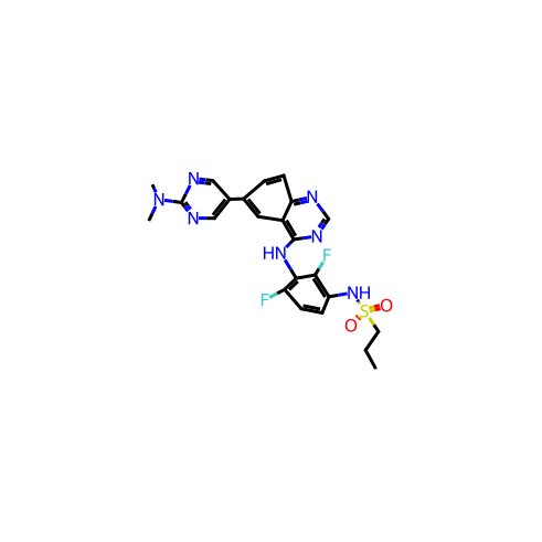 CCCS(=O)(=O)Nc1ccc(F)c(Nc2ncnc3ccc(-c4cnc(N(C)C)nc4)cc23)c1F